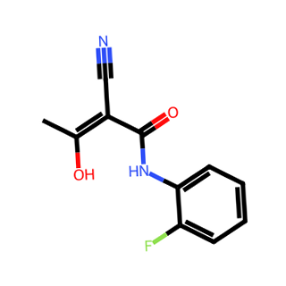 CC(O)=C(C#N)C(=O)Nc1ccccc1F